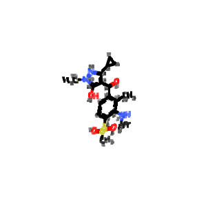 CCCNc1c(S(C)(=O)=O)ccc(C(=O)c2c(C3CC3)nn(C)c2O)c1C